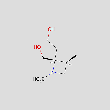 C[C@H]1CN(C(=O)O)[C@]1(CO)CCO